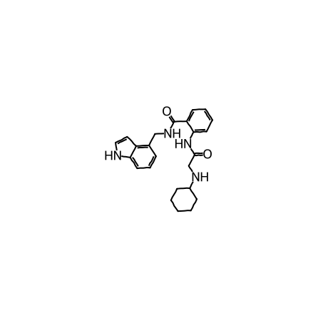 O=C(CNC1CCCCC1)Nc1ccccc1C(=O)NCc1cccc2[nH]ccc12